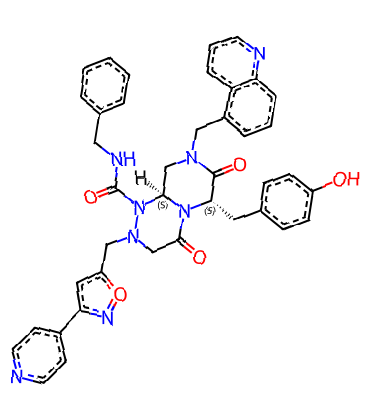 O=C1[C@H](Cc2ccc(O)cc2)N2C(=O)CN(Cc3cc(-c4ccncc4)no3)N(C(=O)NCc3ccccc3)[C@H]2CN1Cc1cccc2ncccc12